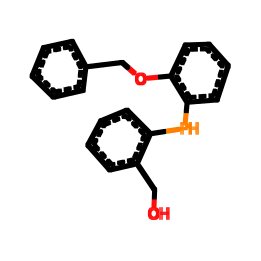 OCc1ccccc1Pc1ccccc1OCc1ccccc1